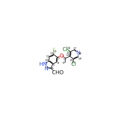 CC(Oc1cc2c(C=O)n[nH]c2cc1F)c1c(Cl)cncc1Cl